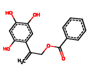 C=C(COC(=O)c1ccccc1)c1cc(O)c(O)cc1O